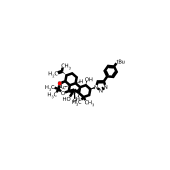 C=C(C)[C@@H]1CC[C@H]2[C@@]34COC5(OC(C)(C)O[C@H]1[C@@]25C(C)=O)[C@@H](O)[C@@H]3C(C)(C)C[C@H](n1cc(-c2ccc(C(C)(C)C)cc2)nn1)[C@H]4O